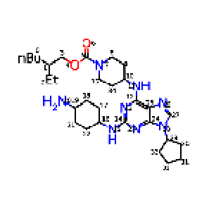 CCCCC(CC)COC(=O)N1CCC(Nc2nc(NC3CCC(N)CC3)nc3c2ncn3C2CCCC2)CC1